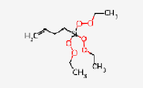 C=CCC[Si](OOCC)(OOCC)OOCC